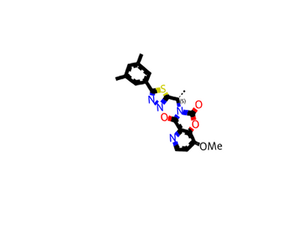 COc1ccnc2c(=O)n([C@@H](C)c3nnc(-c4cc(C)cc(C)c4)s3)c(=O)oc12